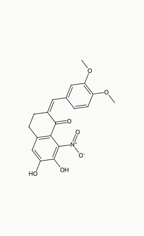 COc1ccc(C=C2CCc3cc(O)c(O)c([N+](=O)[O-])c3C2=O)cc1OC